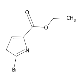 CCOC(=O)C1=CCC(Br)=N1